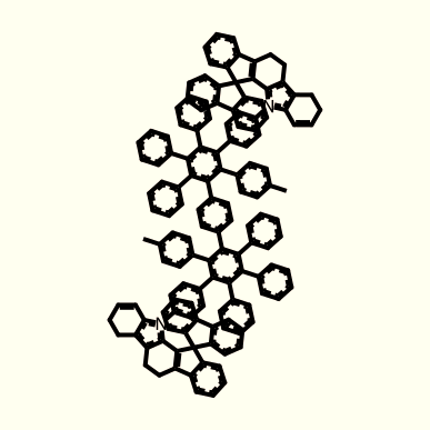 Cc1ccc(-c2c(-c3ccc(-c4c(-c5ccccc5)c(-c5ccccc5)c(-c5ccccc5)c(-c5ccc(-n6c7c(c8c6C6=C(CC8)c8ccccc8C68c6ccccc6-c6ccccc68)CCC=C7)cc5)c4-c4ccc(C)cc4)cc3)c(-c3ccccc3)c(-c3ccccc3)c(-c3ccccc3)c2-c2ccc(-n3c4c(c5c3C3=C(CC5)c5ccccc5C35c3ccccc3-c3ccccc35)CCC=C4)cc2)cc1